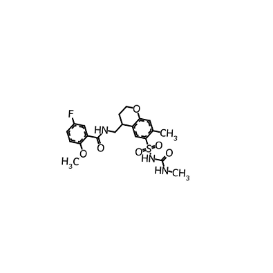 CNC(=O)NS(=O)(=O)c1cc2c(cc1C)OCCC2CNC(=O)c1cc(F)ccc1OC